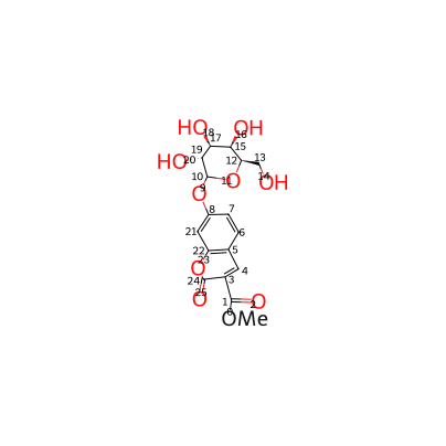 COC(=O)c1cc2ccc(OC3O[C@H](CO)[C@H](O)[C@H](O)[C@H]3O)cc2oc1=O